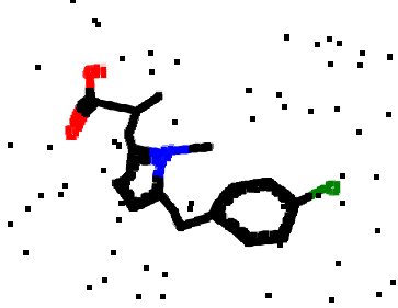 CC(C(=O)O)c1ccc(Cc2ccc(Cl)cc2)n1C